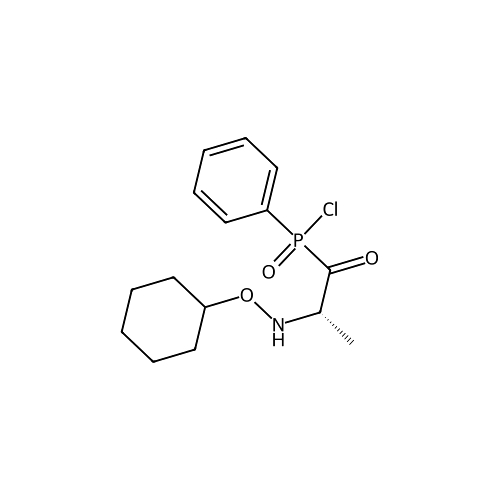 C[C@H](NOC1CCCCC1)C(=O)P(=O)(Cl)c1ccccc1